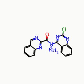 NN(C(=O)c1ncc2ccccc2n1)c1nc(Cl)nc2ccccc12